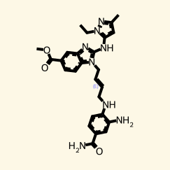 CCn1nc(C)cc1Nc1nc2cc(C(=O)OC)ccc2n1C/C=C/CNc1ccc(C(N)=O)cc1N